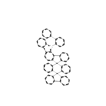 c1ccc(-c2ccccc2-n2c3ccccc3c3ccc4c(c32)-c2ccccc2C42c3ccccc3C3(c4ccccc4-c4ccccc43)c3ccccc32)cc1